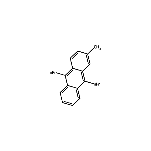 CCCc1c2ccccc2c(CCC)c2cc(C)ccc12